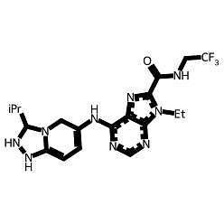 CCn1c(C(=O)NCC(F)(F)F)nc2c(NC3=CC=C4NNC(C(C)C)N4C3)ncnc21